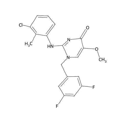 COc1cn(Cc2cc(F)cc(F)c2)c(Nc2cccc(Cl)c2C)nc1=O